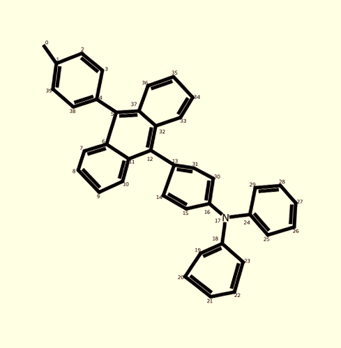 Cc1ccc(-c2c3ccccc3c(-c3ccc(N(c4ccccc4)c4ccccc4)cc3)c3ccccc23)cc1